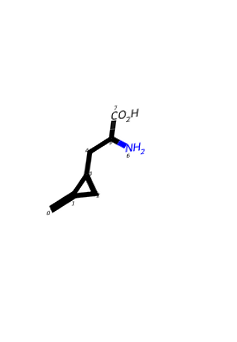 C=C1CC1CC(N)C(=O)O